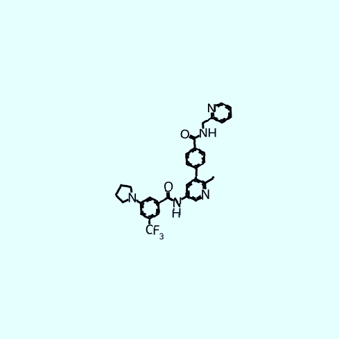 Cc1ncc(NC(=O)c2cc(N3CCCC3)cc(C(F)(F)F)c2)cc1-c1ccc(C(=O)NCc2ccccn2)cc1